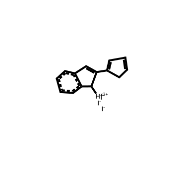 [Hf+2][CH]1C(C2=CC=CC2)=Cc2ccccc21.[I-].[I-]